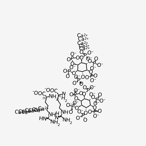 N=C(N)NCCC[C@H](N)C(=O)[O-].N=C(N)NCCC[C@H](N)C(=O)[O-].O=P([O-])([O-])O[C@H]1[C@H](OP(=O)([O-])[O-])[C@@H](OP(=O)([O-])[O-])[C@H](OP(=O)([O-])[O-])[C@@H](OP(=O)([O-])[O-])[C@H]1OP(=O)([O-])[O-].O=P([O-])([O-])O[C@H]1[C@H](OP(=O)([O-])[O-])[C@@H](OP(=O)([O-])[O-])[C@H](OP(=O)([O-])[O-])[C@@H](OP(=O)([O-])[O-])[C@H]1OP(=O)([O-])[O-].[Ca+2].[Ca+2].[Ca+2].[Ca+2].[Ca+2].[Ca+2].[Ca+2].[Ca+2].[Ca+2].[Ca+2].[Ca+2].[Ca+2].[Ca+2]